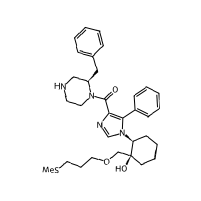 CSCCCOC[C@@]1(O)CCCC[C@@H]1n1cnc(C(=O)N2CCNC[C@H]2Cc2ccccc2)c1-c1ccccc1